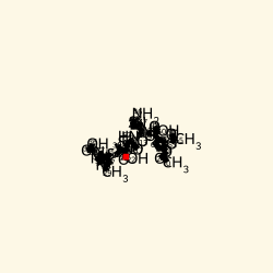 CC(=O)Oc1ccc([C@@H](O/N=C(\C(=O)N[C@@H]2C(=O)N3C(C(=O)O)=C(CSc4cc(C)nc5nc(C(=O)O)nn45)CS[C@H]23)c2csc(N)n2)C(=O)O)cc1OC(C)=O